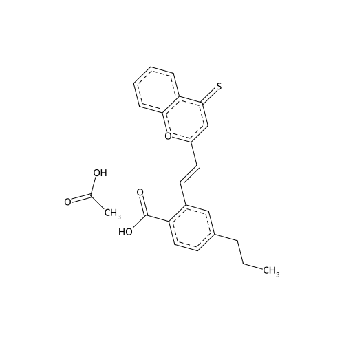 CC(=O)O.CCCc1ccc(C(=O)O)c(C=Cc2cc(=S)c3ccccc3o2)c1